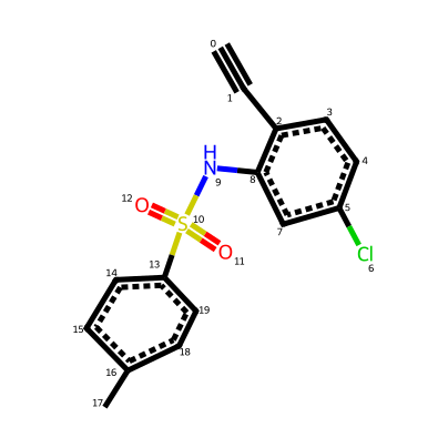 C#Cc1ccc(Cl)cc1NS(=O)(=O)c1ccc(C)cc1